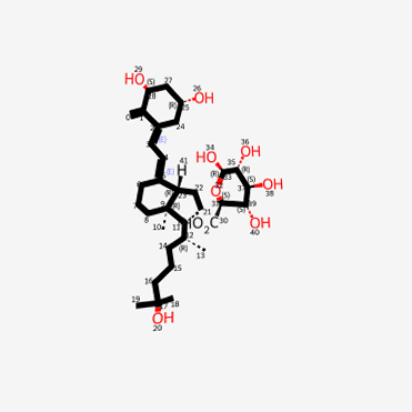 C=C1/C(=C/C=C2\CCC[C@]3(C)[C@@H]([C@H](C)CCCC(C)(C)O)CC[C@@H]23)C[C@@H](O)C[C@@H]1O.O=C(O)[C@H]1O[C@@H](O)[C@H](O)[C@@H](O)[C@@H]1O